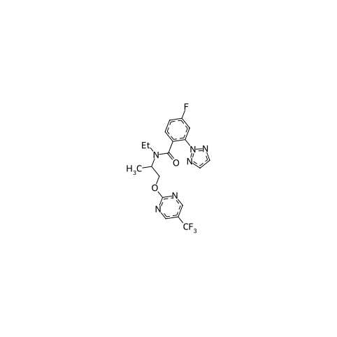 CCN(C(=O)c1ccc(F)cc1-n1nccn1)C(C)COc1ncc(C(F)(F)F)cn1